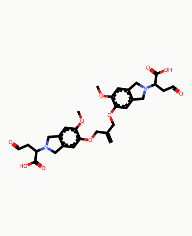 C=C(COc1cc2c(cc1OC)CN(C(CC=O)C(=O)O)C2)COc1cc2c(cc1OC)CN(C(CC=O)C(=O)O)C2